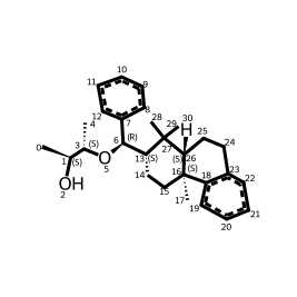 C[C@H](O)[C@H](C)O[C@@H](c1ccccc1)[C@H]1CC[C@]2(C)c3ccccc3CC[C@H]2C1(C)C